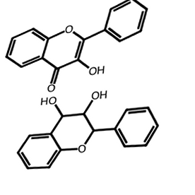 O=c1c(O)c(-c2ccccc2)oc2ccccc12.OC1c2ccccc2OC(c2ccccc2)C1O